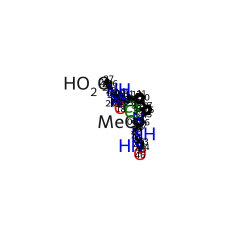 COc1nc(-c2cccc(-c3cccc(-c4cc5c(=O)n(C)c(CNCC(C)(C)C(=O)O)nn5c4)c3Cl)c2Cl)ccc1CNCC1CCC(=O)N1